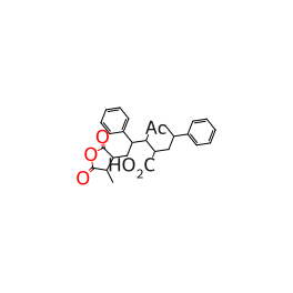 CC(=O)C(C(CC(C)c1ccccc1)C(=O)O)C(CC1C(=O)OC(=O)C1C)c1ccccc1